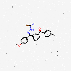 COc1ccc(C(=NNC(N)=S)c2cccc(C(=O)c3ccc(C)cc3)c2)cc1